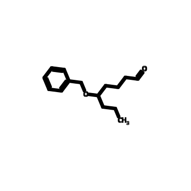 CCCC(CCCC=O)OCc1ccccc1